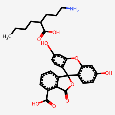 CCCCC(CCCN)C(=O)O.O=C(O)c1cccc2c1C(=O)OC21c2ccc(O)cc2Oc2cc(O)ccc21